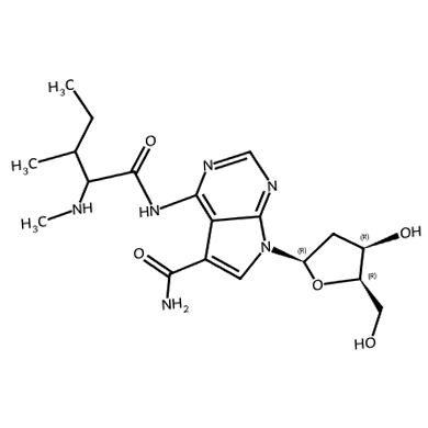 CCC(C)C(NC)C(=O)Nc1ncnc2c1c(C(N)=O)cn2[C@H]1C[C@@H](O)[C@@H](CO)O1